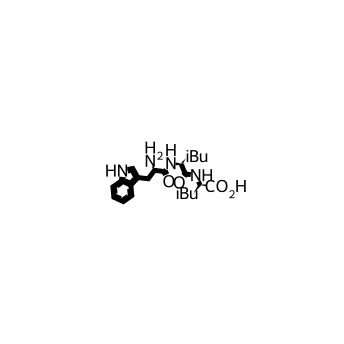 CC[C@H](C)[C@H](NC(=O)[C@@H](NC(=O)[C@@H](N)Cc1c[nH]c2ccccc12)[C@@H](C)CC)C(=O)O